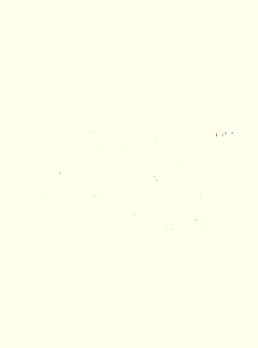 O=C(O)c1cccc2c1OB(O)C(NC(=O)C1(c3ccccc3)CCNCC1)C2